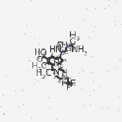 C=C(c1c(C)c(C(=O)O)cc2c(/C(=C/C=C(/C)N)NC)ccn12)N1CCN(CC(F)(F)F)CC1